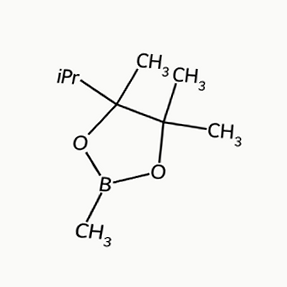 CB1OC(C)(C)C(C)(C(C)C)O1